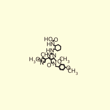 COc1ccc(CN2Cc3nc(NC4CCCCC4NC(=O)O)nc(-c4cnn(C)c4C)c3C2=O)c(OC)c1